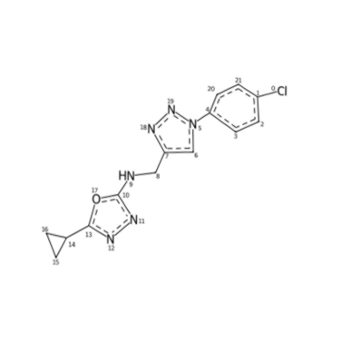 Clc1ccc(-n2cc(CNc3nnc(C4CC4)o3)nn2)cc1